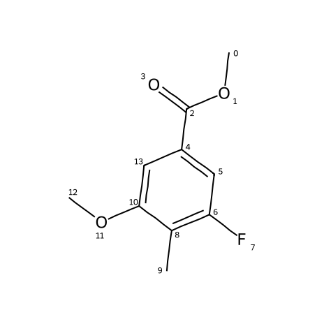 COC(=O)c1cc(F)c(C)c(OC)c1